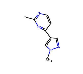 CCc1nccc(-c2cnn(C)c2)n1